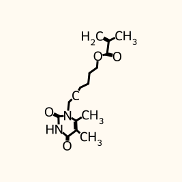 C=C(C)C(=O)OCCCCCCn1c(C)c(C)c(=O)[nH]c1=O